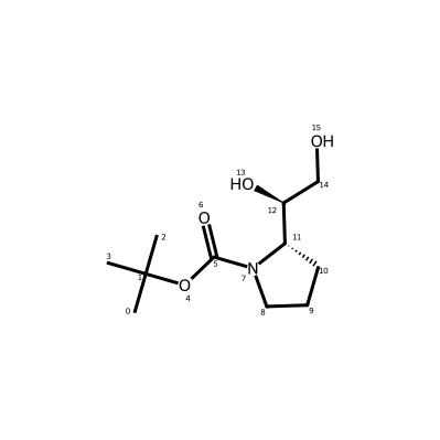 CC(C)(C)OC(=O)N1CCC[C@H]1[C@@H](O)CO